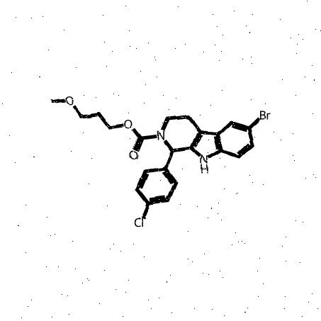 COCCCOC(=O)N1CCc2c([nH]c3ccc(Br)cc23)C1c1ccc(Cl)cc1